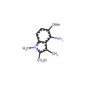 CCOC(=O)c1c(C)c2c(N)c(OC)ccc2n1C